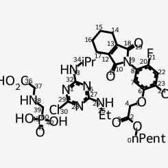 CCCCCOC(=O)COc1cc(N2C(=O)C3=C(CCCC3)C2=O)c(F)cc1Cl.CCNc1nc(Cl)nc(NC(C)C)n1.O=C(O)CNCP(=O)(O)O